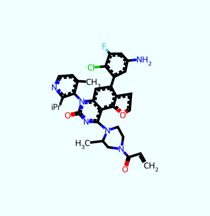 C=CC(=O)N1CCN(c2nc(=O)n(-c3c(C)ccnc3C(C)C)c3cc(-c4cc(N)cc(F)c4Cl)c4ccoc4c23)C(C)C1